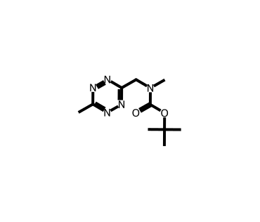 Cc1nnc(CN(C)C(=O)OC(C)(C)C)nn1